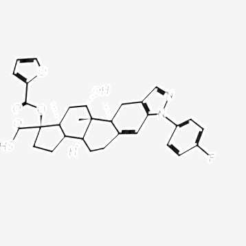 C[C@]12[C@@H](O)C[C@@]3(C)C(CC[C@]3(OC(=O)c3ccco3)C(=O)S)[C@@H]1CCC1=Cc3c(cnn3-c3ccc(F)cc3)C[C@@]12C